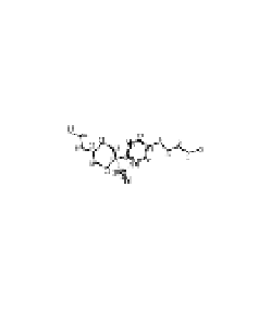 CCCCCc1cnc([C@]2(C#N)CC[C@H](CCC)CC2)nc1